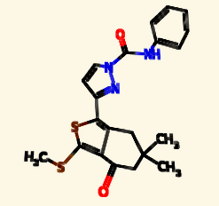 CSc1sc(-c2ccn(C(=O)Nc3ccccc3)n2)c2c1C(=O)CC(C)(C)C2